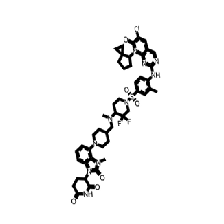 Cc1cc(S(=O)(=O)N2CCC(N(C)CC3CCN(c4cccc5c4n(C)c(=O)n5C4CCC(=O)NC4=O)CC3)C(F)(F)C2)ccc1Nc1ncc2cc(Cl)c(=O)n(C3CCCC34CC4)c2n1